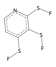 FSc1ccnc(SF)c1SF